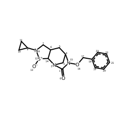 O=C1N2CC(CC3CN(C4CC4)[S+]([O-])C32)N1OCc1ccccc1